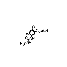 C#CCOc1cc(NC(=O)NC)c(F)cc1Cl